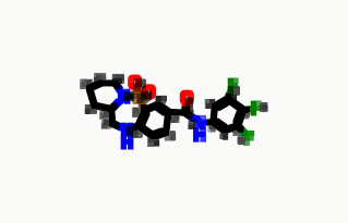 O=C(Nc1cc(F)c(F)c(F)c1)c1ccc2c(c1)S(=O)(=O)N1CCCCC1CN2